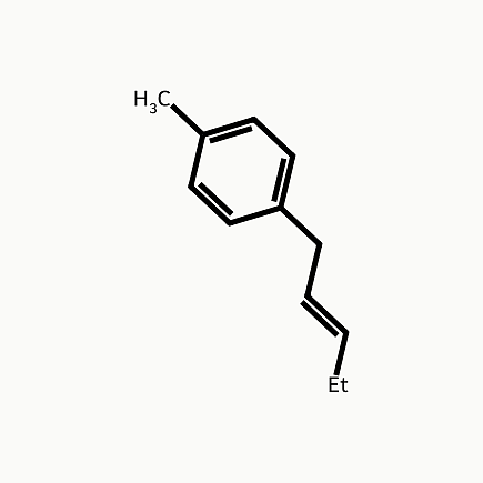 CCC=CCc1ccc(C)cc1